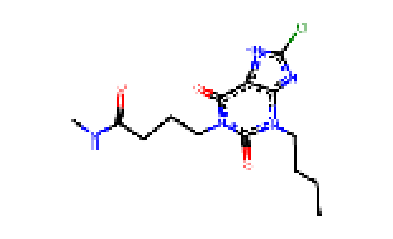 CCCCn1c(=O)n(CCCC(=O)NC)c(=O)c2[nH]c(Cl)nc21